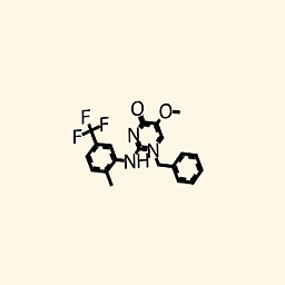 COc1cn(Cc2ccccc2)c(Nc2cc(C(F)(F)F)ccc2C)nc1=O